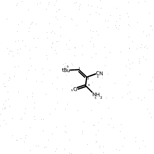 CC(C)(C)C=C(C#N)C(N)=O